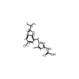 Cc1cc(NC(=O)O)nn1Cc1cc(Cl)cc2cc(C(C)C)oc12